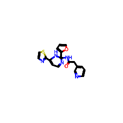 O=C(Cc1cccnc1)NC1(c2ccco2)N=CC=C(c2nccs2)N1